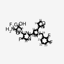 NC(=O)C(O)(CNc1nc(-c2cc(-c3ccon3)n(Cc3cccc(F)c3F)n2)ncc1F)C(F)(F)F